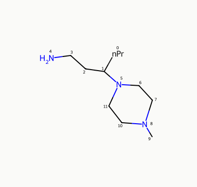 CCCC(CCN)N1CCN(C)CC1